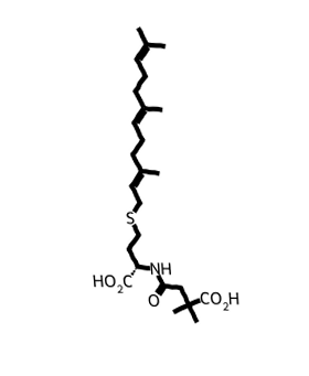 CC(C)=CCC/C(C)=C/CC/C(C)=C/CSCC[C@H](NC(=O)CC(C)(C)C(=O)O)C(=O)O